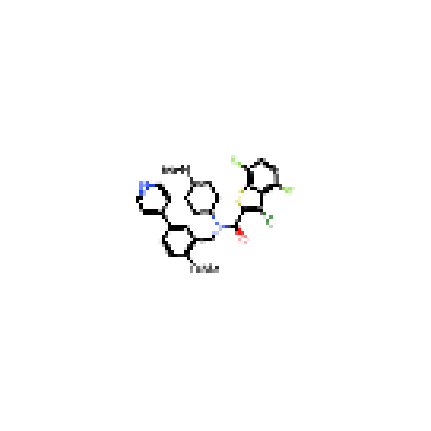 CNC1CCC(N(Cc2cc(-c3ccncc3)ccc2OC)C(=O)c2sc3c(F)ccc(F)c3c2Cl)CC1